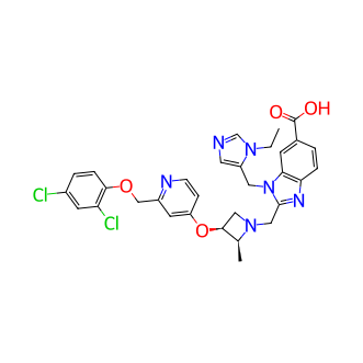 CCn1cncc1Cn1c(CN2C[C@H](Oc3ccnc(COc4ccc(Cl)cc4Cl)c3)[C@@H]2C)nc2ccc(C(=O)O)cc21